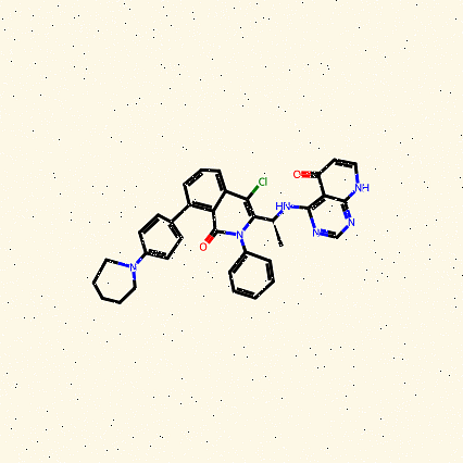 C[C@H](Nc1ncnc2[nH]ccc(=O)c12)c1c(Cl)c2cccc(-c3ccc(N4CCCCC4)cc3)c2c(=O)n1-c1ccccc1